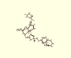 O=C(O)C[C@H](CN1CC[C@@](F)(CCc2ccc3c(n2)NCCC3)C1)c1cccc(OC[C@H]2CCCO2)c1